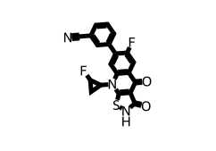 N#Cc1cccc(-c2cc3c(cc2F)c(=O)c2c(=O)[nH]sc2n3C2CC2F)c1